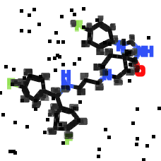 O=C1NCN(c2ccc(F)cc2)C12CCN(CCCNC(c1ccc(F)cc1)c1ccc(F)cc1)CC2